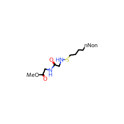 CCCCCCCCCCCCCSNCC(=O)NCC(=O)OC